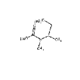 CCOC(=O)CC(C)N(C)C(=O)OCC(C)C